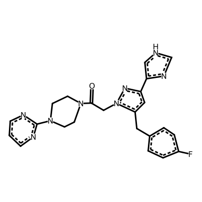 O=C(Cn1nc(-c2c[nH]cn2)cc1Cc1ccc(F)cc1)N1CCN(c2ncccn2)CC1